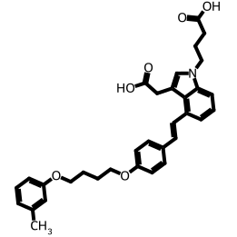 Cc1cccc(OCCCCOc2ccc(C=Cc3cccc4c3c(CC(=O)O)cn4CCCC(=O)O)cc2)c1